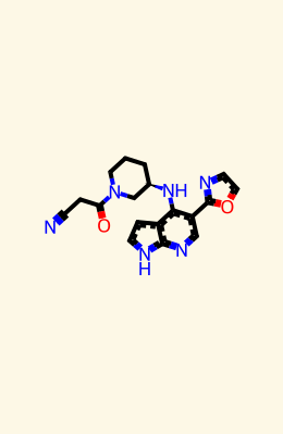 N#CCC(=O)N1CCC[C@@H](Nc2c(-c3ncco3)cnc3[nH]ccc23)C1